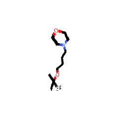 CCC(C)(C)OCCCCN1CCOCC1